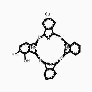 Oc1ccc2c3nc4nc(nc5[nH]c(nc6nc(nc([nH]3)c2c1O)-c1ccccc1-6)c1ccccc51)-c1ccccc1-4.[Cu]